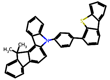 CC1(C)c2ccccc2-c2ccc3c(c21)c1ccccc1n3-c1ccc(-c2cccc3c2sc2ccccc23)cc1